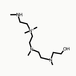 CNCC[N+](C)(C)CCN(C)CCN(C)CCO